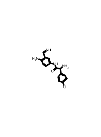 N=Cc1cc(NC(=O)C(N)c2ccc(Cl)cc2)ccc1N